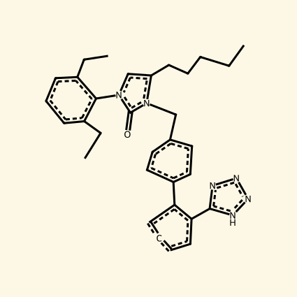 CCCCCc1cn(-c2c(CC)cccc2CC)c(=O)n1Cc1ccc(-c2ccccc2-c2nnn[nH]2)cc1